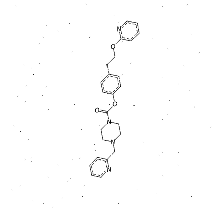 O=C(Oc1ccc(CCOc2ccccn2)cc1)N1CCN(Cc2ccccn2)CC1